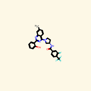 Cc1ccc2c(N3CC[C@@H](NC(=O)c4ccc(C(F)(F)F)c(F)c4)C3)nc(-c3ccccc3O)nc2c1